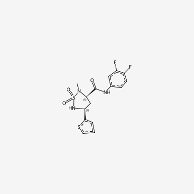 CN1[C@@H](C(=O)Nc2ccc(F)c(F)c2)C[C@@H](c2cccs2)NS1(=O)=O